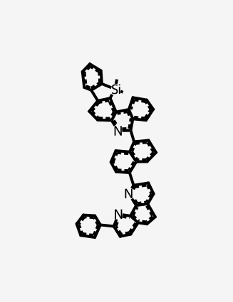 C[Si]1(C)c2ccccc2-c2ccc3nc(-c4cccc5c(-c6ccc7ccc8ccc(-c9ccccc9)nc8c7n6)cccc45)c4ccccc4c3c21